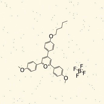 CCCCCOc1ccc(-c2cc(-c3ccc(OC)cc3)[o+]c(-c3ccc(OC)cc3)c2)cc1.F[B-](F)(F)F